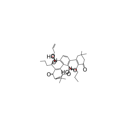 C=CCON=C(CCC)C1=C(c2ccc(C(=O)O)c(C3=C(C(CCC)=NOCC=C)C(=O)CC(C)(C)C3)c2C(=O)O)CC(C)(C)CC1=O